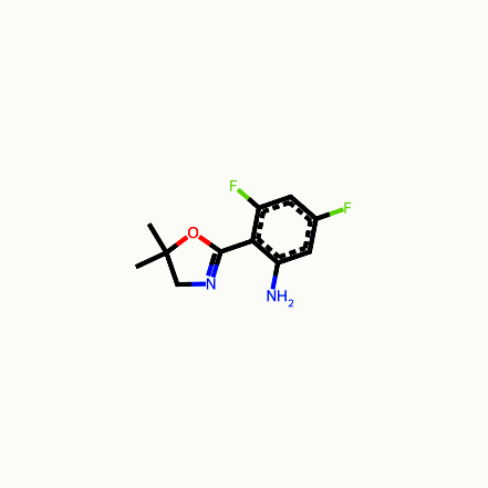 CC1(C)CN=C(c2c(N)cc(F)cc2F)O1